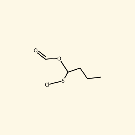 CCCC(OC=O)SCl